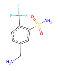 NCc1ccc(C(F)(F)F)c(S(N)(=O)=O)c1